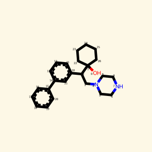 OC1(C(CN2CCNCC2)c2cccc(-c3ccccc3)c2)CCCCC1